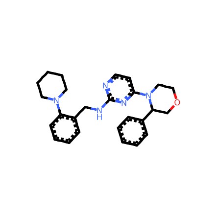 c1ccc(C2COCCN2c2ccnc(NCc3ccccc3N3CCCCC3)n2)cc1